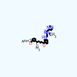 COC(=O)c1cccc([C@@H](C)CCCC(=O)c2cccc(NCc3nnc(-c4ccncn4)n3C)c2)c1